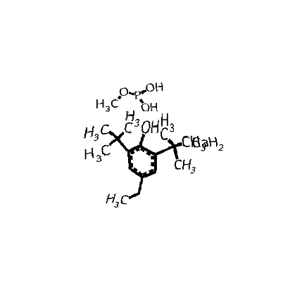 CCc1cc(C(C)(C)C)c(O)c(C(C)(C)C)c1.COP(O)O.[CaH2]